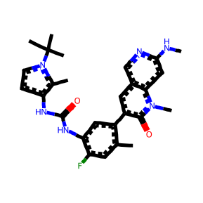 CNc1cc2c(cn1)cc(-c1cc(NC(=O)Nc3ccn(C(C)(C)C)c3C)c(F)cc1C)c(=O)n2C